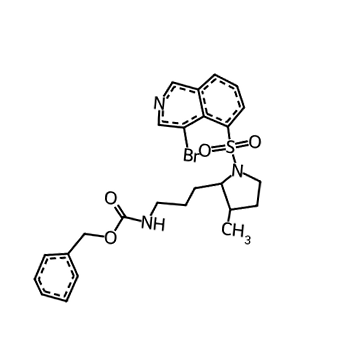 CC1CCN(S(=O)(=O)c2cccc3cncc(Br)c23)C1CCCNC(=O)OCc1ccccc1